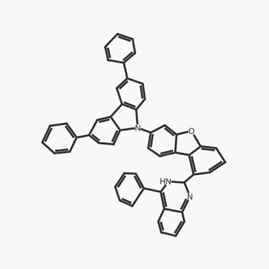 c1ccc(C2=c3ccccc3=NC(c3cccc4oc5cc(-n6c7ccc(-c8ccccc8)cc7c7cc(-c8ccccc8)ccc76)ccc5c34)N2)cc1